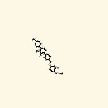 CCCCCc1ccc(OCc2ccc(-c3ccc(C4CCC(CCC)CC4)c(F)c3F)cc2)cc1F